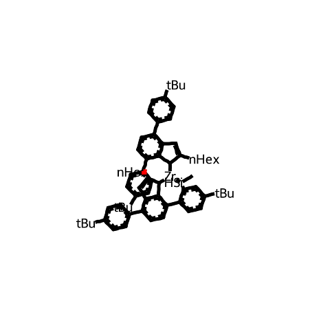 CCCCCCC1=Cc2c(-c3ccc(C(C)(C)C)cc3)ccc(-c3ccc(C(C)(C)C)cc3)c2[CH]1[Zr]([CH]1C(CCCCCC)=Cc2c(-c3ccc(C(C)(C)C)cc3)ccc(-c3ccc(C(C)(C)C)cc3)c21)[SiH](C)C